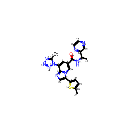 CCc1nnnn1-c1cc(C(=O)NC(C)c2cnccn2)cn2c(-c3ccc(C)s3)cnc12